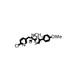 CN=S(=O)(Cc1ccc(Cl)nc1)c1nc(-c2ccc(OC)cc2)cs1